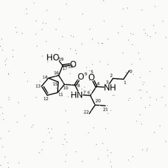 CCCNC(=O)C(NC(=O)C1C2C=CC(C2)C1C(=O)O)C(C)C